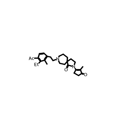 CCc1c(C(C)=O)ccc(CCN2CCCC3(CC2)CCN(C2=C(C)C(=O)CC2)C3=O)c1C